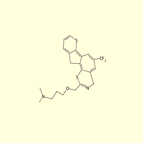 CN(C)CCCOCC1=NCC2=CC(C(F)(F)F)=CC3=C4SC=CC=C4CC3=C2S1